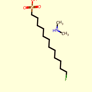 CNC.O=S(=O)(O)CCCCCCCCCCCCF